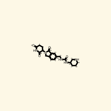 O=C1CCC(N2Cc3ccc(CNC(=O)NC4CCCNC4)cc3C2=O)C(=O)N1